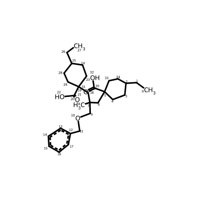 CCC1CCC(CC(C)(COCc2ccccc2)CC2(C(=O)O)CCC(CC)CC2)(C(=O)O)CC1